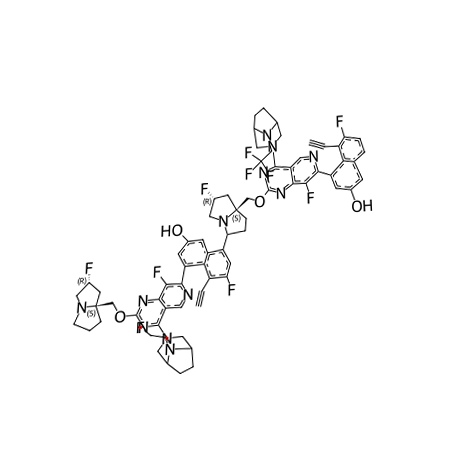 C#Cc1c(F)ccc2cc(O)cc(-c3ncc4c(N5CC6CCC(C5)N6CC(F)(F)F)nc(OC[C@@]56CCC(c7cc(F)c(C#C)c8c(-c9ncc%10c(N%11CC%12CCC(C%11)N%12CCF)nc(OC[C@@]%11%12CCCN%11C[C@H](F)C%12)nc%10c9F)cc(O)cc78)N5C[C@H](F)C6)nc4c3F)c12